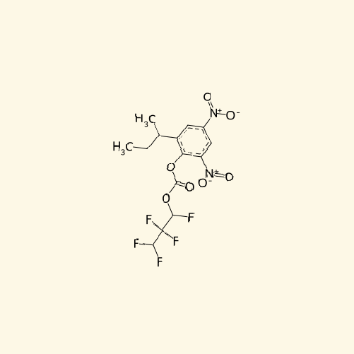 CCC(C)c1cc([N+](=O)[O-])cc([N+](=O)[O-])c1OC(=O)OC(F)C(F)(F)C(F)F